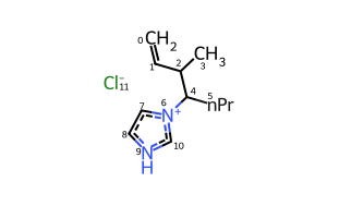 C=CC(C)C(CCC)[n+]1cc[nH]c1.[Cl-]